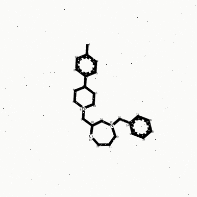 Cc1ccc(C2CCN(CC3CN(Cc4ccccc4)CCCO3)CC2)cc1